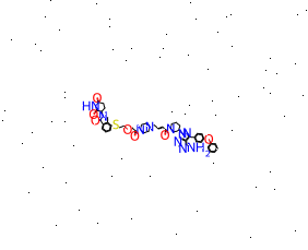 Nc1ncnc2c1c(-c1ccc(Oc3ccccc3)cc1)nn2C1CCCN(C(=O)/C=C/CN2CCN(C(=O)COCCSc3cccc4c3CN(C3CCC(=O)NC3=O)C4=O)CC2)C1